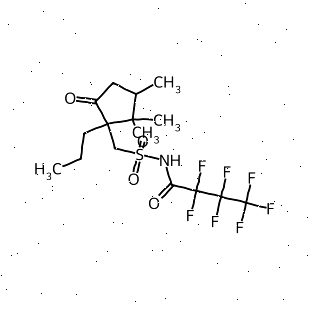 CCCC1(CS(=O)(=O)NC(=O)C(F)(F)C(F)(F)C(F)(F)F)C(=O)CC(C)C1(C)C